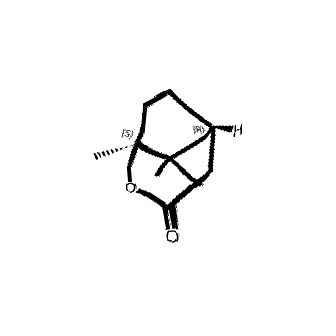 CC1(C)[C@@H]2CC[C@]1(C)OC(=O)C2